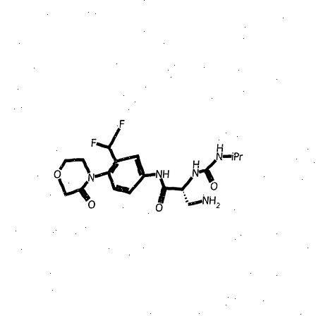 CC(C)NC(=O)N[C@H](CN)C(=O)Nc1ccc(N2CCOCC2=O)c(C(F)F)c1